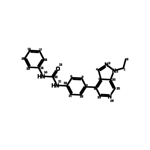 CCn1ncc2c(-c3ccc(NC(=O)Nc4ccccc4)cc3)cncc21